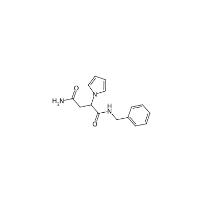 NC(=O)CC(C(=O)NCc1ccccc1)n1cccc1